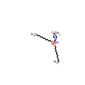 CCCCCCCCCCCCCOP(=O)(NCCN1CCN(C(C)=O)CC1)OCCCCCCCCCCCCC